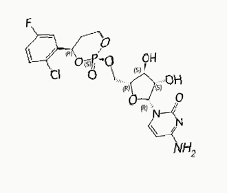 Nc1ccn([C@@H]2O[C@H](CO[P@]3(=O)OCC[C@H](c4cc(F)ccc4Cl)O3)[C@@H](O)[C@@H]2O)c(=O)n1